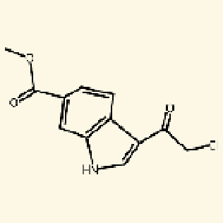 COC(=O)c1ccc2c(C(=O)CCl)c[nH]c2c1